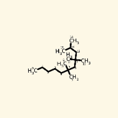 CCCCCC(C)(C)CC(C)(C)CC(C)C